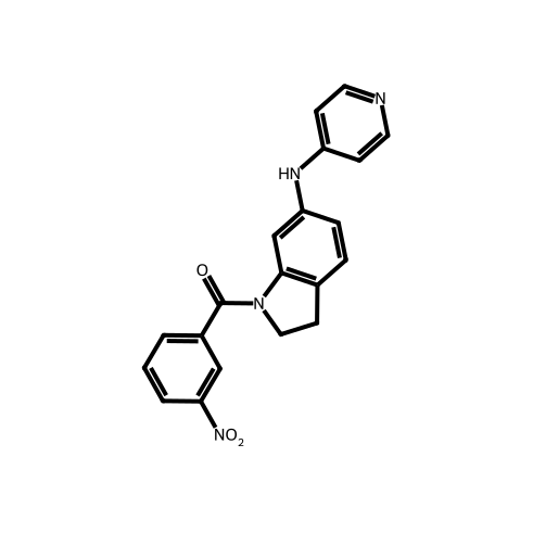 O=C(c1cccc([N+](=O)[O-])c1)N1CCc2ccc(Nc3ccncc3)cc21